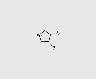 CC(=O)[C@H]1CNC[C@H]1O